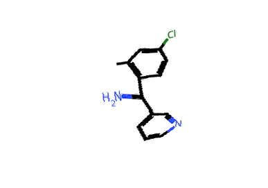 Cc1cc(Cl)ccc1C(N)c1cccnc1